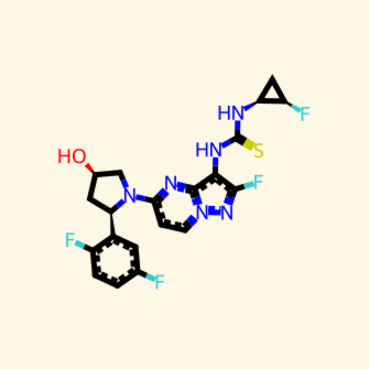 O[C@@H]1C[C@H](c2cc(F)ccc2F)N(c2ccn3nc(F)c(NC(=S)N[C@H]4C[C@H]4F)c3n2)C1